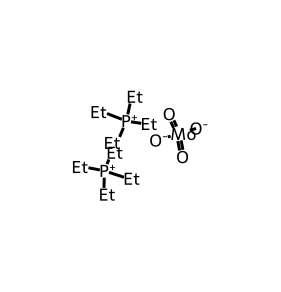 CC[P+](CC)(CC)CC.CC[P+](CC)(CC)CC.[O]=[Mo](=[O])([O-])[O-]